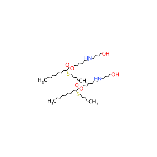 CCCCCCCCC(SCCCCC)C(=O)OCCCCCCNCCCCO.CCCCCCCCC(SCCCCC)C(=O)OCCCCCCNCCCCO